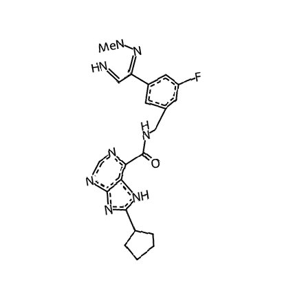 CN/N=C(\C=N)c1cc(F)cc(CNC(=O)c2ncnc3nc(C4CCCC4)[nH]c23)c1